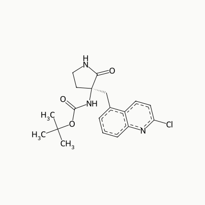 CC(C)(C)OC(=O)N[C@@]1(Cc2cccc3nc(Cl)ccc23)CCNC1=O